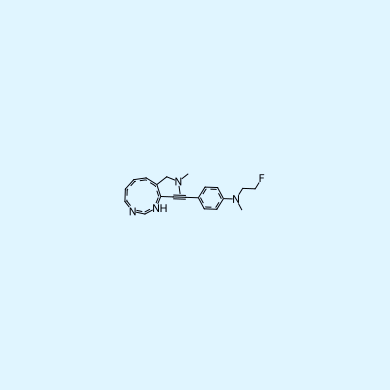 CN(C)Cc1ccccnc[nH]c1C#Cc1ccc(N(C)CCF)cc1